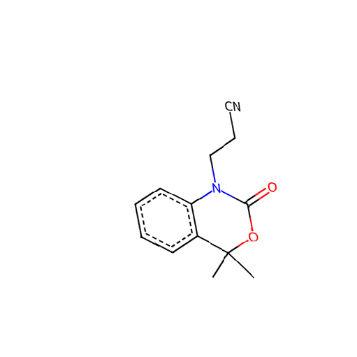 CC1(C)OC(=O)N(CCC#N)c2ccccc21